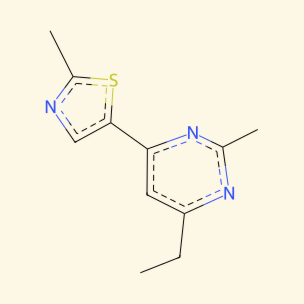 CCc1cc(-c2cnc(C)s2)nc(C)n1